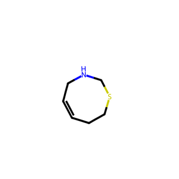 C1=CCNCSCC1